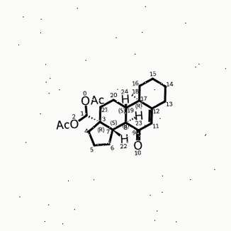 CC(=O)OC(OC(C)=O)[C@@]12CCC[C@H]1[C@@H]1C(=O)C=C3CCCC[C@]3(C)[C@H]1CC2